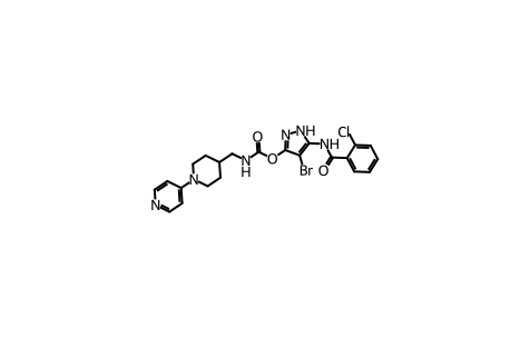 O=C(NCC1CCN(c2ccncc2)CC1)Oc1n[nH]c(NC(=O)c2ccccc2Cl)c1Br